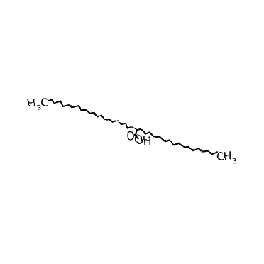 CCCCCCCCC=CCCCCCCCCCCCCC(CCCCCCCCCCCCCCCCCC)C(=O)O